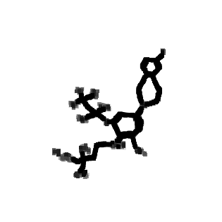 [2H]C([2H])([2H])C([2H])([2H])Sc1cc(N2CCc3cc(F)ccc3C2)cc(C)c1NCCC(C)(C)C